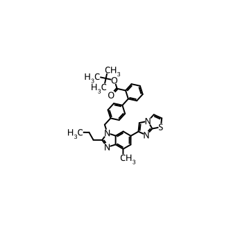 CCCc1nc2c(C)cc(-c3cn4ccsc4n3)cc2n1Cc1ccc(-c2ccccc2C(=O)OC(C)(C)C)cc1